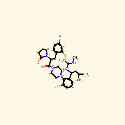 CNC(C)NC(CC(C)C)c1cccc(F)c1N1CCN(C(=O)C(Cc2ccc(Cl)cc2Cl)N2CCCC2=O)CC1